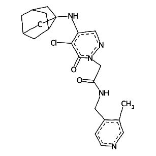 Cc1cnccc1CNC(=O)Cn1ncc(NC23CC4CC(CC2C4)C3)c(Cl)c1=O